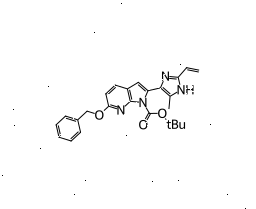 C=Cc1nc(-c2cc3ccc(OCc4ccccc4)nc3n2C(=O)OC(C)(C)C)c(C)[nH]1